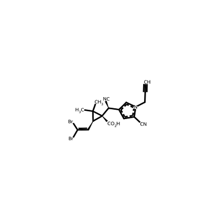 C#CCn1cc([C@H](C#N)[C@]2(C(=O)O)[C@@H](C=C(Br)Br)C2(C)C)cc1C#N